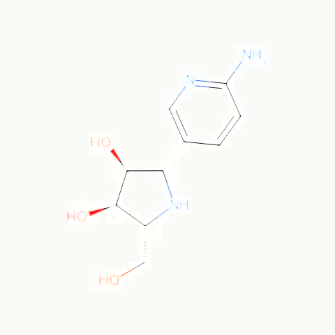 Nc1ccc([C@@H]2N[C@H](CO)[C@@H](O)[C@H]2O)cn1